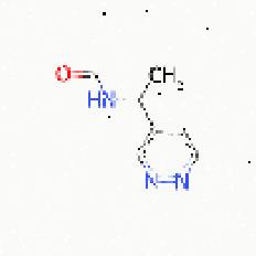 CC(N[C]=O)c1ccnnc1